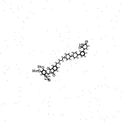 CCOc1cc([C@@H](CS(C)(=O)=O)N2C(=O)c3ccc(CCCCCN4CCC(N5CCC(c6cccc(C7CCC(=O)NC7=O)c6)CC5)CC4)cc3C2=O)ccc1OC